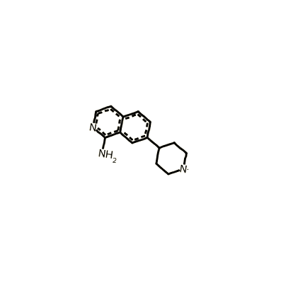 Nc1nccc2ccc(C3CC[N]CC3)cc12